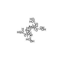 CC(=O)N(CC(O)CN(C(C)=O)c1c(I)c(C(=O)CCC(O)CO)c(I)c(C(=O)CCC(O)CO)c1I)c1c(I)c(C(=O)CCC(O)CO)c(I)c(C(=O)CCC(O)CO)c1I